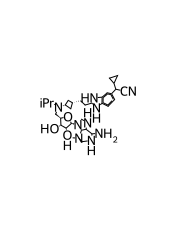 CC(C)N(C[C@H]1O[C@@H](N2CNC3C(N)NCN(C)C32)[C@H](O)[C@@H]1O)[C@H]1C[C@@H](CCC2Nc3ccc(C(C#N)C4CC4)cc3N2)C1